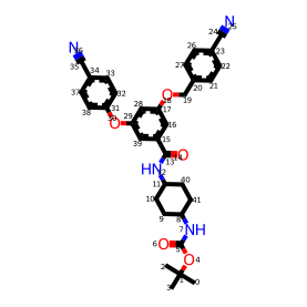 CC(C)(C)OC(=O)NC1CCC(NC(=O)c2cc(OCc3ccc(C#N)cc3)cc(Oc3ccc(C#N)cc3)c2)CC1